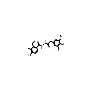 CCc1c(C(=O)NNC(=O)Cc2cc(F)c(F)c(OC)c2)ccc(O)c1C